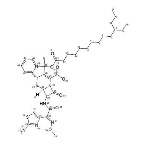 CCCC(CC)CCCCCCCCCC(=O)OC(C)(C1=C(C(=O)[O-])N2C(=O)C(NC(=O)/C(=N/OC)c3nsc(N)n3)[C@H]2SC1)[n+]1ccccc1